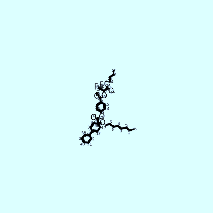 CCCCCCCCOC1(C(=O)Oc2ccc(C(=O)OC(C(=O)OCCCC)C(F)(F)F)cc2)C=CC(c2ccccc2)=CC1